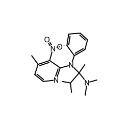 Cc1ccnc(N(c2ccccc2)C(C)(C(C)C)N(C)C)c1[N+](=O)[O-]